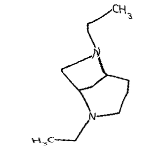 CCN1CCC2C1CN2CC